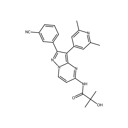 Cc1cc(-c2c(-c3cccc(C#N)c3)nn3ccc(NC(=O)C(C)(C)O)nc23)cc(C)n1